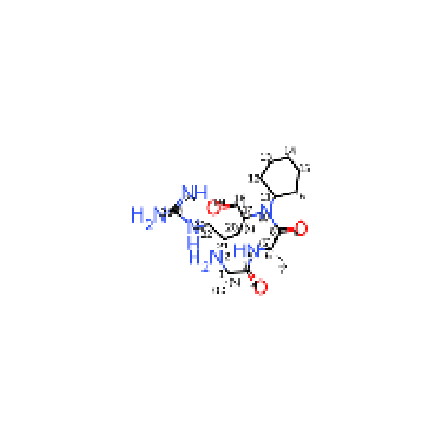 C[C@H](N)C(=O)N[C@@H](C)C(=O)N(C1CCCCC1)[C@H]([C]=O)CCCNC(=N)N